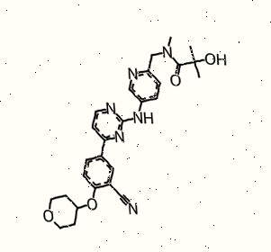 CN(Cc1ccc(Nc2nccc(-c3ccc(OC4CCOCC4)c(C#N)c3)n2)cn1)C(=O)C(C)(C)O